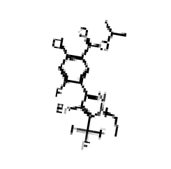 CC(C)OC(=O)c1cc(-c2nn(CI)c(C(F)(F)F)c2Br)c(F)cc1Cl